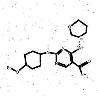 CCOC1CCC(Nc2ncc(C(N)=O)c(N[C@H]3CCCOC3)n2)CC1